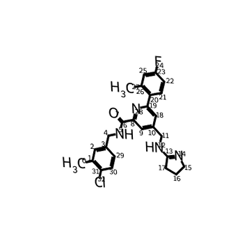 Cc1cc(CNC(=O)c2cc(CNC3=NCCC3)cc(-c3ccc(F)cc3C)n2)ccc1Cl